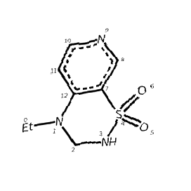 CCN1CNS(=O)(=O)c2cnccc21